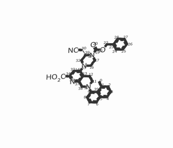 Cc1cccc2cccc(N3CCc4c(N5CCN(C(=O)OCc6ccccc6)[C@@H](CC#N)C5)cc(C(=O)O)nc4C3)c12